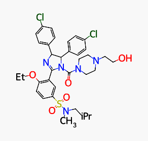 CCOc1ccc(S(=O)(=O)N(C)CC(C)C)cc1C1=NC(c2ccc(Cl)cc2)C(c2ccc(Cl)cc2)N1C(=O)N1CCN(CCO)CC1